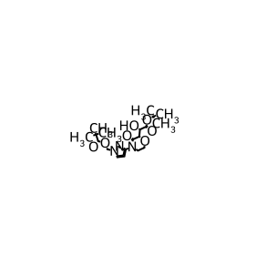 CC(C)(C)OC(=O)[C@H](O)C1OCCN(c2ccn(COC(=O)C(C)(C)C)n2)C1=O